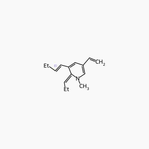 C=CC1=CN(C)C(=CCC)C(/C=C/CC)=C1